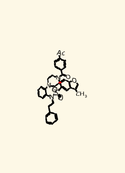 CC(=O)c1ccc(C(=O)N2CCN(c3ccccc3N(CCc3ccccc3)S(=O)(=O)c3ccc4occ(C)c4c3)CC2)cc1